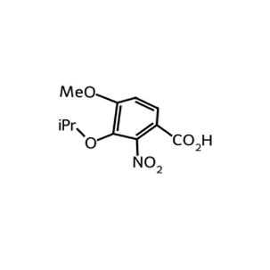 COc1ccc(C(=O)O)c([N+](=O)[O-])c1OC(C)C